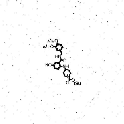 COc1ccc(CNC(=O)c2cc(C#N)ccc2NC2CCN(C(=O)OC(C)(C)C)CC2)cc1OC